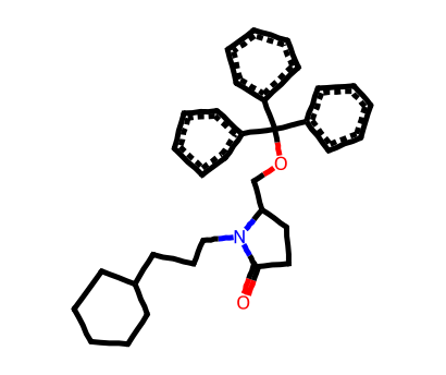 O=C1CCC(COC(c2ccccc2)(c2ccccc2)c2ccccc2)N1CCCC1CCCCC1